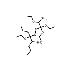 CCOC([SiH3])C(OCC)(OCC)SSC(OCC)(OCC)C([SiH3])OCC